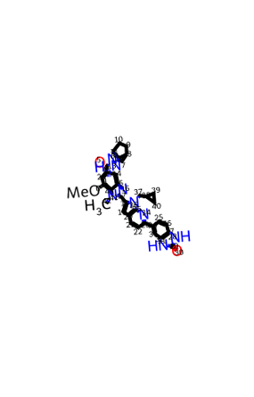 COc1cc(C(=O)N2CC3CCC2C3N)cc2nc(-c3cc4ccc(-c5ccc6[nH]c(=O)[nH]c6c5)nc4n3CC3CC3)n(C)c12